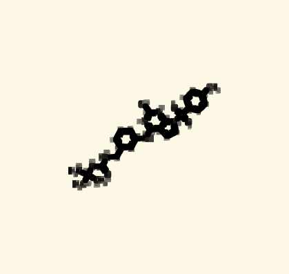 Cc1ccc(S(=O)(=O)n2ccc3c(Nc4cccc(CNC(=O)OC(C)(C)C)c4)nc(Cl)nc32)cc1